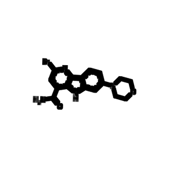 NC(=O)c1cc(Br)nc2c1[nH]c1cc(N3CCOCC3)ccc12